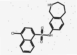 O=S(=O)(Nc1ccc2c(c1)CNCCC2)c1ccc(Cl)c2ccccc12